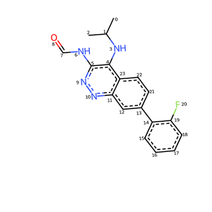 CC(C)Nc1c(NC=O)nnc2cc(-c3ccccc3F)ccc12